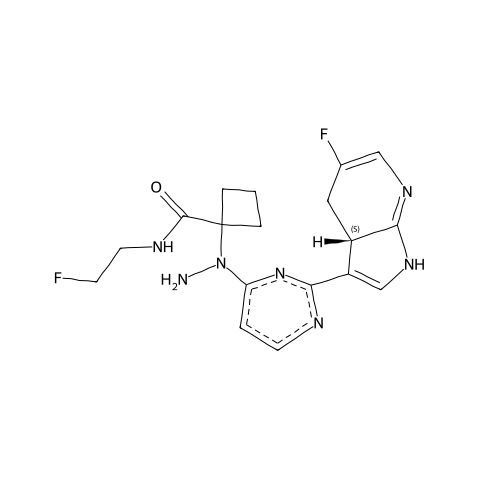 NN(c1ccnc(C2=CNC3=NC=C(F)C[C@@H]23)n1)C1(C(=O)NCCF)CCC1